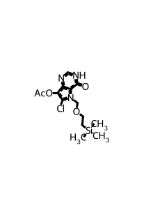 CC(=O)Oc1c(Cl)n(COCC[Si](C)(C)C)c2c(=O)[nH]cnc12